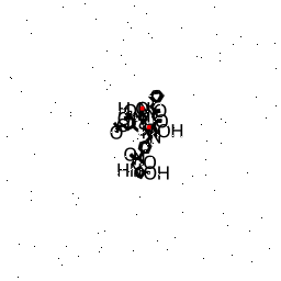 CC(=O)OCC1=C(C(=O)O)N2C(=O)C(N(C(=O)c3cnc(-c4ccc(N(C(C)=O)C(=O)[C@H]5NCCC5O)cc4)nc3O)C(=O)C(N)c3ccccc3)[C@@H]2SC1